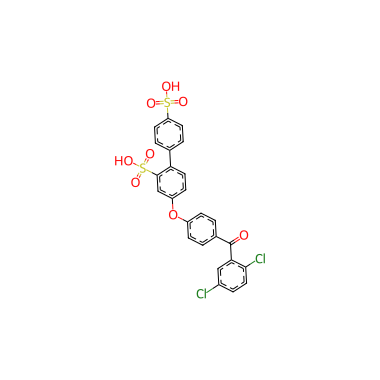 O=C(c1ccc(Oc2ccc(-c3ccc(S(=O)(=O)O)cc3)c(S(=O)(=O)O)c2)cc1)c1cc(Cl)ccc1Cl